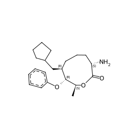 C[C@@H]1OC(=O)[C@@H](N)CCC[C@H](CC2CCCC2)[C@H]1Oc1ccccc1